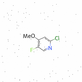 COc1cc(Cl)ncc1F